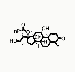 CCCC(=O)O[C@]1(C(=O)CO)[C@@H](C)C[C@H]2[C@@H]3CCC4=C(F)C(=O)C=C[C@]4(C)[C@@]3(Cl)[C@@H](O)C[C@@]21C